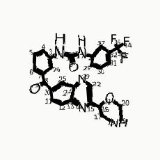 O=C(Nc1cccc(C(=O)c2ccc3nc(C4CNCCO4)cnc3c2)c1)Nc1cccc(C(F)(F)F)c1